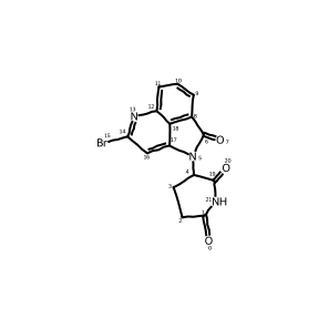 O=C1CCC(N2C(=O)c3cccc4nc(Br)cc2c34)C(=O)N1